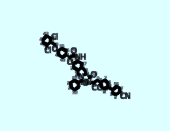 N#Cc1ccc(-c2ccc(CC(NC(=O)[C@@H]3Cc4cc5c(cc4CN3C(=O)c3ccccc3)O[C@@H](c3ccc(OCc4c(Cl)cccc4Cl)cc3)C(=O)N5)C(=O)O)cc2)cc1